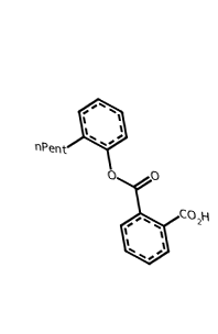 CCCCCc1ccccc1OC(=O)c1ccccc1C(=O)O